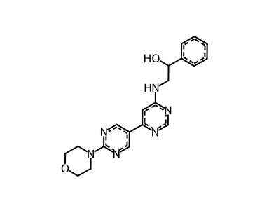 OC(CNc1cc(-c2cnc(N3CCOCC3)nc2)ncn1)c1ccccc1